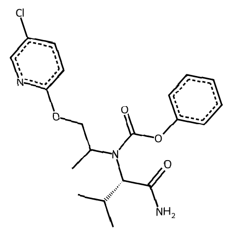 CC(C)[C@@H](C(N)=O)N(C(=O)Oc1ccccc1)C(C)COc1ccc(Cl)cn1